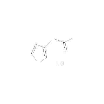 CC(=O)Oc1ccsc1.[SrH2]